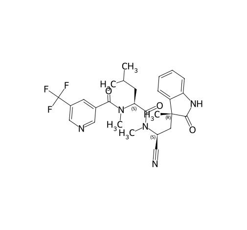 CC(C)C[C@@H](C(=O)N(C)[C@H](C#N)C[C@@]1(C)C(=O)Nc2ccccc21)N(C)C(=O)c1cncc(C(F)(F)F)c1